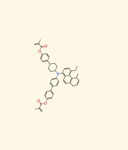 C=C(C)C(=O)Oc1ccc(-c2ccc(N(c3ccc(CC)c4c5c(ccc34)CC=CC5C)C3CCC(c4ccc(OC(=O)C(=C)C)cc4)CC3)cc2)cc1